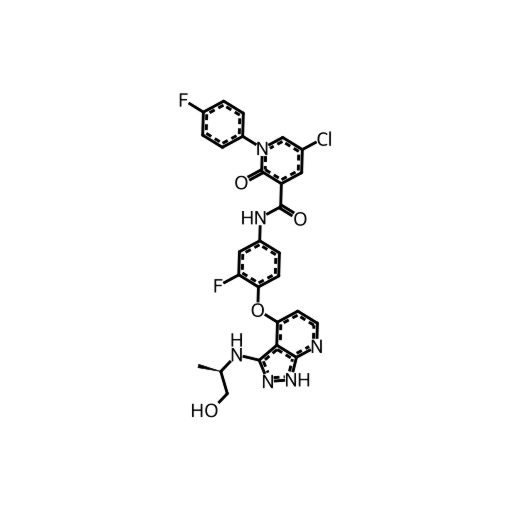 C[C@H](CO)Nc1n[nH]c2nccc(Oc3ccc(NC(=O)c4cc(Cl)cn(-c5ccc(F)cc5)c4=O)cc3F)c12